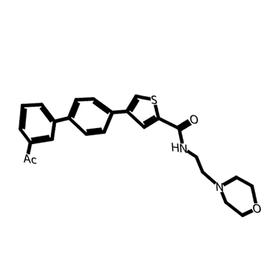 CC(=O)c1cccc(-c2ccc(-c3csc(C(=O)NCCN4CCOCC4)c3)cc2)c1